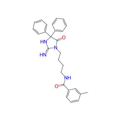 Cc1cccc(C(=O)NCCCCN2C(=N)NC(c3ccccc3)(c3ccccc3)C2=O)c1